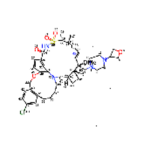 CO[C@]1(CN2CCN(C3COC3)CC2)/C=C/C[C@H](C)[C@@H](C)S(=O)(=O)NC(=O)c2ccc3c(c2)N(CCCCc2cc(Cl)ccc2CO3)C[C@@H]2CC[C@H]21